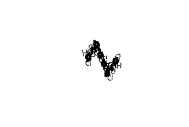 Cc1ccc2c(c1)c(C(=O)C(=O)Nc1ccc(Cl)cc1)c(Cl)n2Cc1ccc(Cl)cc1.O=C(Nc1ccc(Cl)cc1)C(=O)c1c(Cl)n(Cc2ccc(Cl)cc2)c2ccc(Cl)cc12